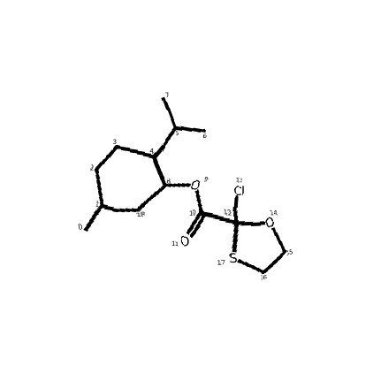 CC1CCC(C(C)C)C(OC(=O)C2(Cl)OCCS2)C1